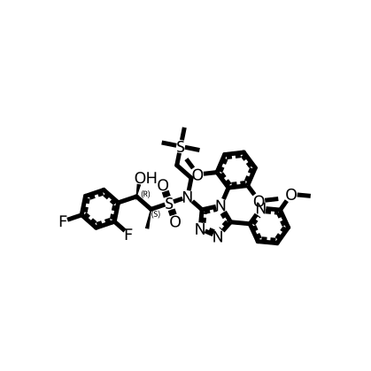 COc1cccc(-c2nnc(N(CCS(C)(C)C)S(=O)(=O)[C@@H](C)[C@H](O)c3ccc(F)cc3F)n2-c2c(OC)cccc2OC)n1